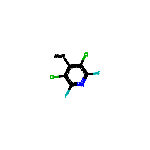 CNc1c(Cl)c(F)nc(F)c1Cl